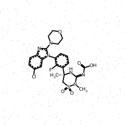 CN1/C(=N/C(=O)O)N[C@](C)(c2cccc(-n3c(N4CCOCC4)nc4ccc(Cl)cc43)c2F)CS1(=O)=O